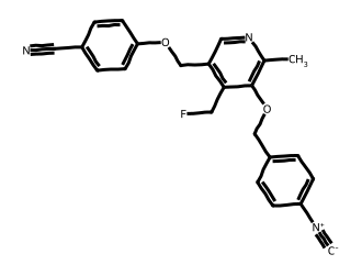 [C-]#[N+]c1ccc(COc2c(C)ncc(COc3ccc(C#N)cc3)c2CF)cc1